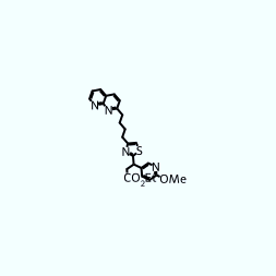 CCOC(=O)CC(c1ccc(OC)nc1)c1nc(CCCCc2ccc3cccnc3n2)cs1